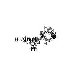 CN1CCN(Cc2ccc(C(F)(F)F)cc2NC(=O)NCc2cnc3nc2NCCCNS(=O)(=O)c2cccc(c2)N3)CC1